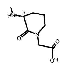 CN[C@H]1CCCN(CC(=O)O)C1=O